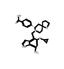 Cc1cc(OC2CC2)c(CN2CCC3(CCCO3)C[C@H]2c2ccc(C(=O)O)cc2)c2cc[nH]c12